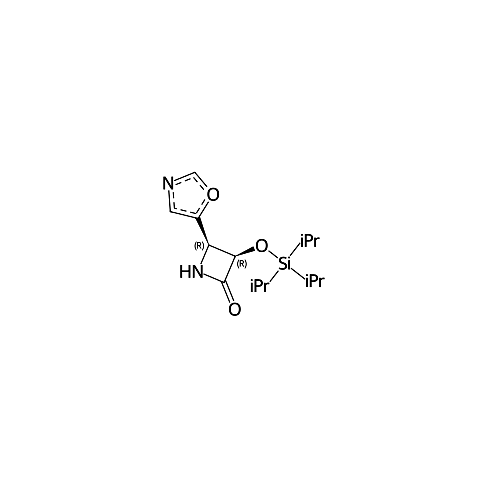 CC(C)[Si](O[C@H]1C(=O)N[C@H]1c1cnco1)(C(C)C)C(C)C